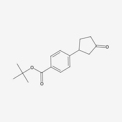 CC(C)(C)OC(=O)c1ccc(C2CCC(=O)C2)cc1